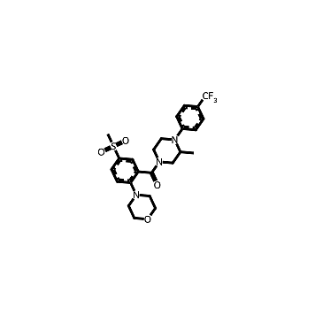 CC1CN(C(=O)c2cc(S(C)(=O)=O)ccc2N2CCOCC2)CCN1c1ccc(C(F)(F)F)cc1